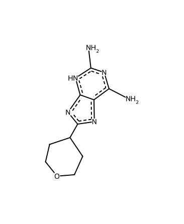 Nc1nc(N)c2nc(C3CCOCC3)nc-2[nH]1